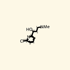 CNCCC(O)c1cccc(Cl)n1